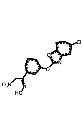 O=[N+]([O-])CC(=NO)c1cccc(Oc2nc3cc(Cl)ccc3o2)c1